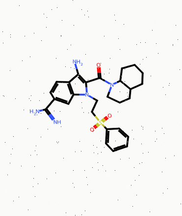 N=C(N)c1ccc2c(N)c(C(=O)N3CCCC4CCCCC43)n(CCS(=O)(=O)c3ccccc3)c2c1